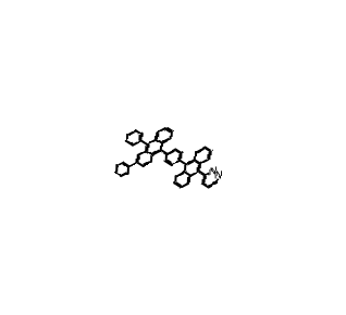 c1ccc(-c2ccc3c(-c4ccc(-c5c6ccccc6c(-c6cccnn6)c6ccccc56)cc4)c4ccccc4c(-c4ccccc4)c3c2)cc1